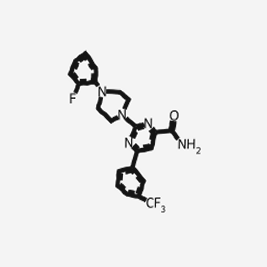 NC(=O)c1cc(-c2cccc(C(F)(F)F)c2)nc(N2CCN(c3ccccc3F)CC2)n1